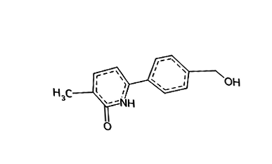 Cc1ccc(-c2ccc(CO)cc2)[nH]c1=O